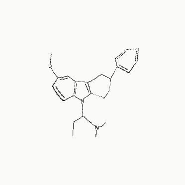 CCC(N(C)C)n1c2c(c3cc(OC)ccc31)CC(c1ccccc1)CC2